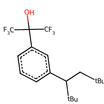 CC(C)(C)CC(c1cccc(C(O)(C(F)(F)F)C(F)(F)F)c1)C(C)(C)C